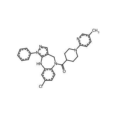 Cc1ccc(N2CCC(C(=O)N3Cc4cnn(-c5ccccc5)c4Nc4cc(Cl)ccc43)CC2)nc1